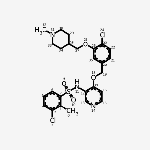 Cc1c(Cl)cccc1S(=O)(=O)Nc1cnccc1OCc1ccc(Cl)c(OCC2CCN(C)CC2)c1